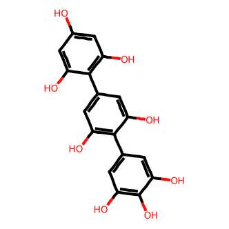 Oc1cc(O)c(-c2cc(O)c(-c3cc(O)c(O)c(O)c3)c(O)c2)c(O)c1